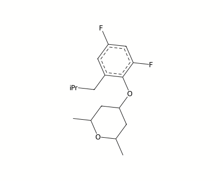 CC(C)Cc1cc(F)cc(F)c1OC1CC(C)OC(C)C1